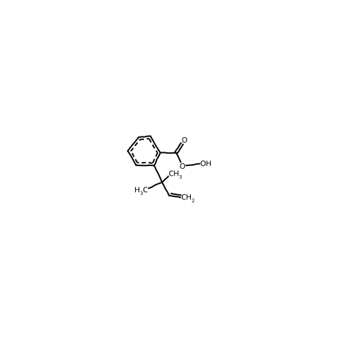 C=CC(C)(C)c1ccccc1C(=O)OO